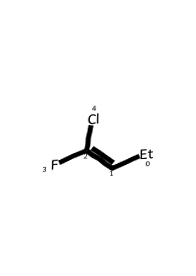 [CH2]CC=C(F)Cl